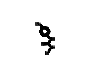 CCNC(=O)Nc1ccc(C(C)(C)C)cc1